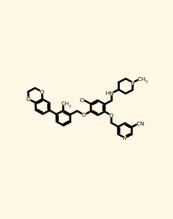 Cc1c(COc2cc(OCc3cncc(C#N)c3)c(CNC3CCN(C)CC3)cc2Cl)cccc1-c1ccc2c(c1)OCCO2